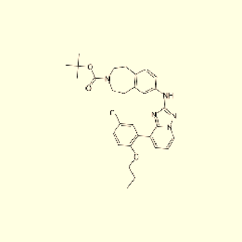 CCCOc1ccc(Cl)cc1-c1cccn2nc(Nc3ccc4c(c3)CCN(C(=O)OC(C)(C)C)CC4)nc12